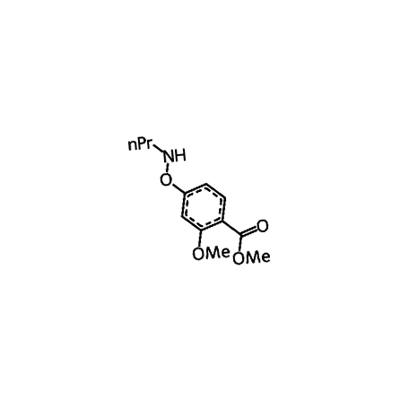 CCCNOc1ccc(C(=O)OC)c(OC)c1